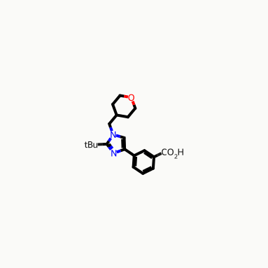 CC(C)(C)c1nc(-c2cccc(C(=O)O)c2)cn1CC1CCOCC1